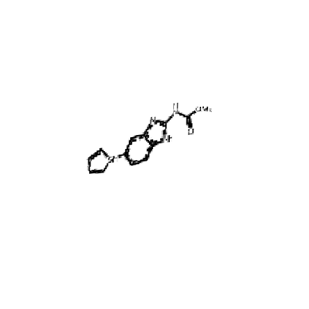 COC(=O)Nc1nc2cc([SH]3C=CC=C3)ccc2[nH]1